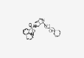 O=S(=O)(c1cccc2cccnc12)N1C=C2C=NC(N3CC(O)(Cc4ccccc4)C3)=C2C1